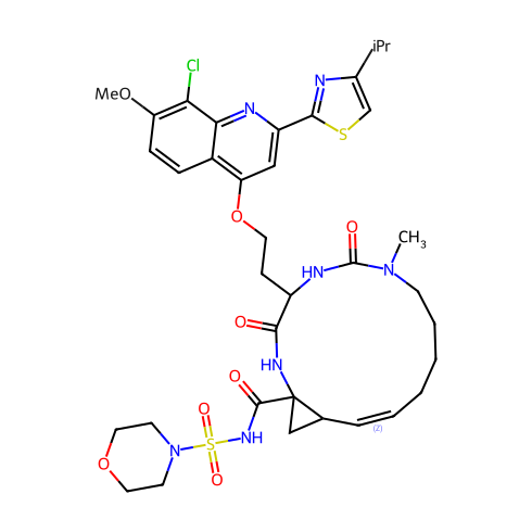 COc1ccc2c(OCCC3NC(=O)N(C)CCCC/C=C\C4CC4(C(=O)NS(=O)(=O)N4CCOCC4)NC3=O)cc(-c3nc(C(C)C)cs3)nc2c1Cl